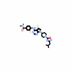 CC(C)Cc1noc(N2CCC(n3cc(F)c4c(Nc5ccc(C(=O)N(C)C)cc5F)ncnc43)CC2)n1